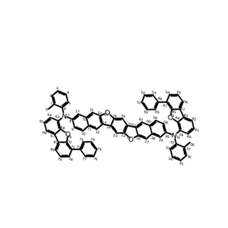 Cc1ccccc1N(c1ccc2cc3c(cc2c1)oc1cc2c(cc13)oc1cc3cc(N(c4ccccc4C)c4cccc5c4oc4c(-c6ccccc6)cccc45)ccc3cc12)c1cccc2c1oc1c(-c3ccccc3)cccc12